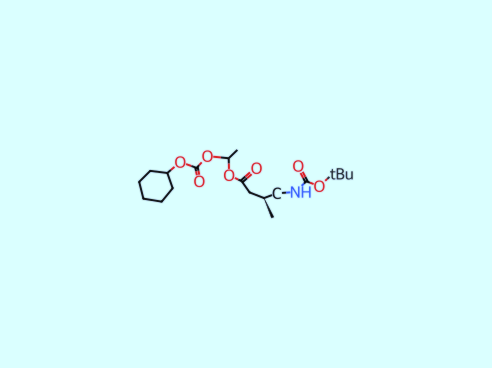 CC(OC(=O)C[C@H](C)CNC(=O)OC(C)(C)C)OC(=O)OC1CCCCC1